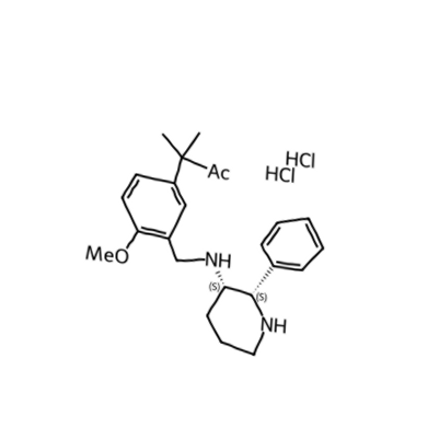 COc1ccc(C(C)(C)C(C)=O)cc1CN[C@H]1CCCN[C@H]1c1ccccc1.Cl.Cl